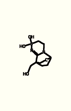 OCC12CCC(CC1)N1CCS(O)(O)N=C12